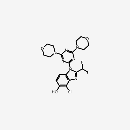 Oc1ccc2c(nc(C(F)F)n2-c2nc(N3CCOCC3)nc(N3CCOCC3)n2)c1Cl